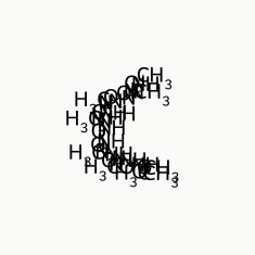 CCCNC(=O)c1nc(NC(=O)CCNC(=O)c2cc(NC(=O)c3nc(NC(=O)CCNC(=O)c4cc(NC(=O)c5nc(NC(=O)CCNC(=O)OC(C)(C)C)cn5C)cn4C)cn3C)cn2C)cn1C